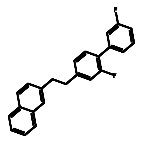 Fc1cccc(-c2ccc(CCc3ccc4ccccc4c3)cc2F)c1